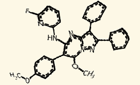 COc1ccc(-c2c(Nc3cccc(F)n3)nc3c(-c4ccccc4)c(-c4ccccc4)nn3c2OC)cc1